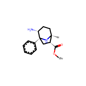 CC(C)(C)OC(=O)[C@@H]1C[C@]2(c3ccccc3)N[C@H]1CC[C@H]2N